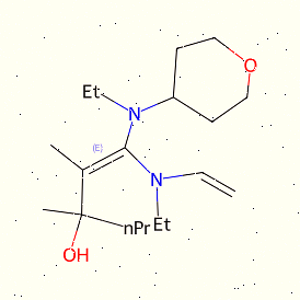 C=CN(CC)/C(=C(/C)C(C)(O)CCC)N(CC)C1CCOCC1